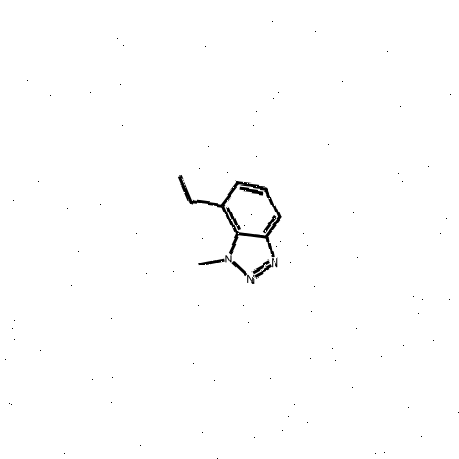 CCc1cccc2nnn(C)c12